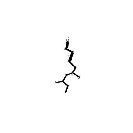 CCC(C)CC(C)C/C=C/C=O